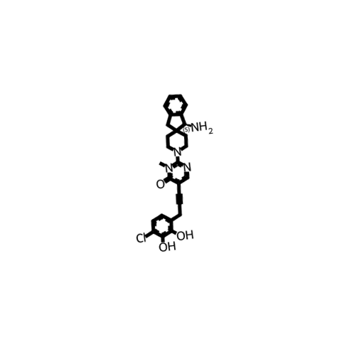 Cn1c(N2CCC3(CC2)Cc2ccccc2[C@H]3N)ncc(C#CCc2ccc(Cl)c(O)c2O)c1=O